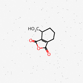 O=C1OC(=O)C2=C1CCCC2C(=O)O